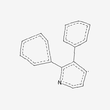 [c]1ccnc(-c2ccccc2)c1-c1ccccc1